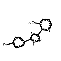 CC(C)c1ccc(-c2nc(-c3ncccc3C(F)(F)F)n[nH]2)cc1